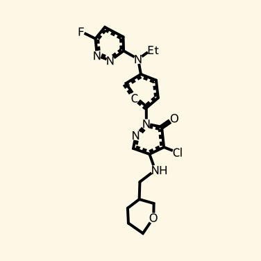 CCN(c1ccc(-n2ncc(NCC3CCCOC3)c(Cl)c2=O)cc1)c1ccc(F)nn1